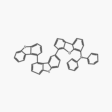 c1ccc(N(c2ccccc2)c2cccc3c2oc2c(-c4ccc5sc6cccc(-c7cccc8sc9ccccc9c78)c6c5c4)cccc23)cc1